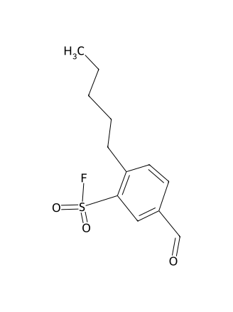 CCCCCc1ccc(C=O)cc1S(=O)(=O)F